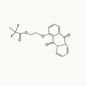 CC(F)(F)C(=O)OCCOc1cccc2c1C(=O)C1C=CC=CC1C2=O